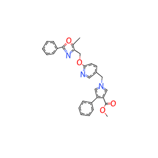 COC(=O)c1cn(Cc2ccc(OCc3nc(-c4ccccc4)oc3C)nc2)cc1-c1ccccc1